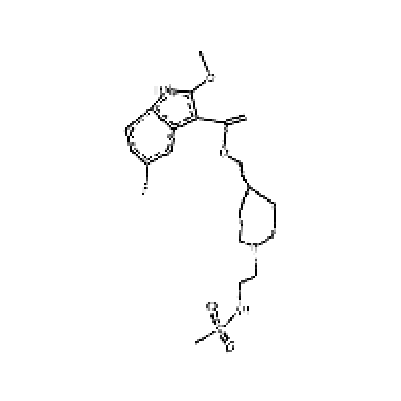 C=C(OCC1CCN(CCNS(C)(=O)=O)CC1)c1c(OC)[nH]c2ccc(F)cc12